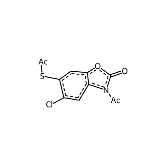 CC(=O)Sc1cc2oc(=O)n(C(C)=O)c2cc1Cl